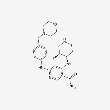 NC(=O)c1cnc(Nc2ccc(CN3CCOCC3)cc2)cc1N[C@@H]1CCNC[C@@H]1F